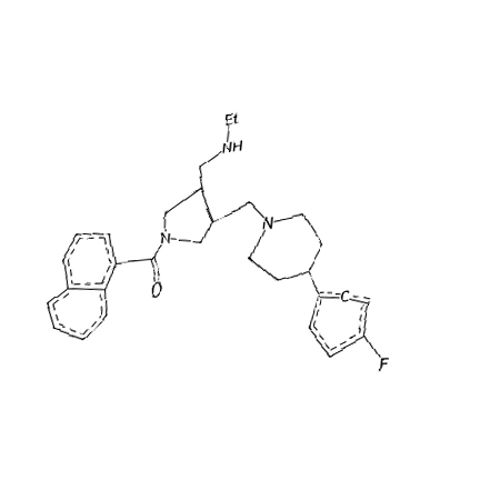 CCNCC1CN(C(=O)c2cccc3ccccc23)CC1CN1CCC(c2ccc(F)cc2)CC1